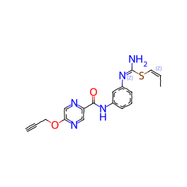 C#CCOc1cnc(C(=O)Nc2cccc(/N=C(/N)S/C=C\C)c2)cn1